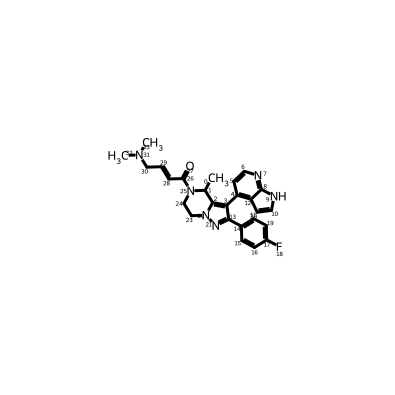 CC1c2c(-c3ccnc4[nH]ccc34)c(-c3ccc(F)cc3)nn2CCN1C(=O)/C=C/CN(C)C